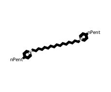 CCCCCc1cc[n+](CCCCCCCCCCCCCCCC[n+]2ccc(CCCCC)cc2)cc1